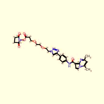 Cc1cc(C)n2ccc(C(=O)Nc3ccc(-c4cn(CCOCCOCCC(=O)ON5C(=O)CCC5=O)nn4)cc3)c2n1